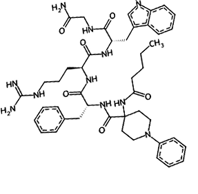 CCCCC(=O)NC1(C(=O)N[C@H](Cc2ccccc2)C(=O)N[C@@H](CCCNC(=N)N)C(=O)N[C@@H](Cc2c[nH]c3ccccc23)C(=O)NCC(N)=O)CCN(c2ccccc2)CC1